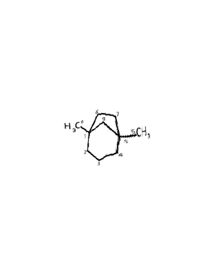 CC12CCCC(C)(CC1)C2